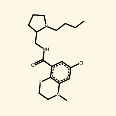 CCCCN1CCCC1CNC(=O)c1cc(Cl)cc2c1SCCN2C